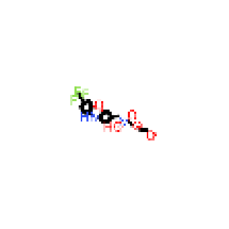 COCCOCC(=O)N(O)Cc1ccc2c(c1)Oc1cc(C(F)(F)F)ccc1N2